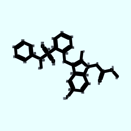 COC(=O)Cn1c(C)c(Cc2ccccc2S(=O)(=O)N(C)c2ccccc2)c2cc(F)ccc21